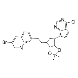 CC1(C)OC2C(CCc3ccc4cc(Br)cnc4c3)CC(n3ccc4c(Cl)ncnc43)C2O1